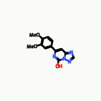 COc1ccc(-c2cc3ncnn3c(O)n2)cc1OC